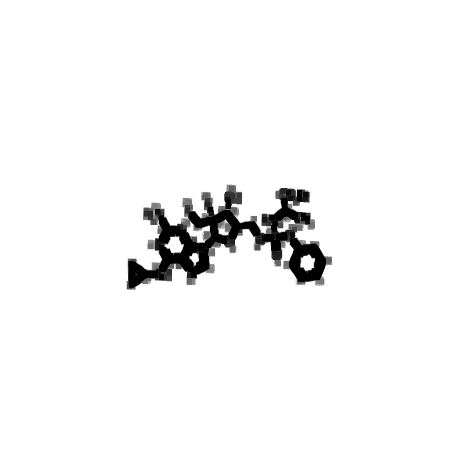 CCOC(=O)[C@@H](C)N[P@](=O)(OC[C@H]1O[C@@H](n2cnc3c(NC4CC4)nc(N)nc32)[C@@](F)(CF)[C@@H]1O)Oc1ccccc1